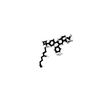 C#CCCCC(F)/C=C/CNC1(c2ccc(-c3nc4ccn5c(=O)[nH]nc5c4cc3-c3ccccc3)cc2)CCC1.Cl